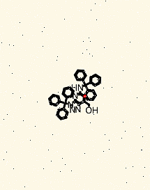 OCc1cc(NC(c2ccccc2)(c2ccccc2)c2ccccc2)nc2c1nnn2C(c1ccccc1)(c1ccccc1)c1ccccc1